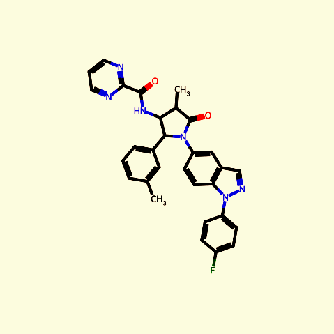 Cc1cccc(C2C(NC(=O)c3ncccn3)C(C)C(=O)N2c2ccc3c(cnn3-c3ccc(F)cc3)c2)c1